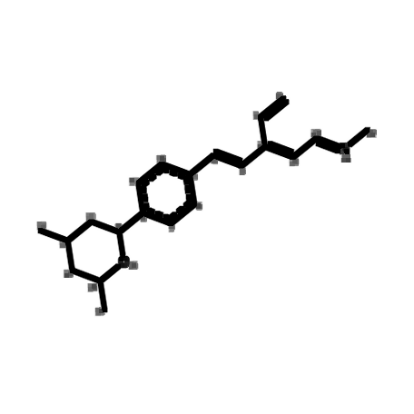 C=CC(/C=C/c1ccc(C2CC(C)CC(C)O2)cc1)=C\C=N\C